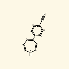 C1=CC=CNC=C1.N#Cc1ccccc1